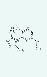 Cc1ccc(C)n1-c1cc(CN)ccc1C(=O)O